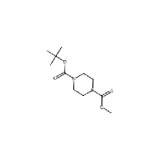 COC(=O)N1CCN(C(=O)OC(C)(C)C)CC1